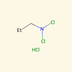 CCCN(Cl)Cl.Cl